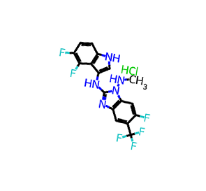 CNn1c(Nc2c[nH]c3ccc(F)c(F)c23)nc2cc(C(F)(F)F)c(F)cc21.Cl